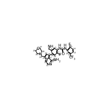 NCc1cc(NC(=O)Nc2cc(C(F)(F)F)ccc2F)c(F)cc1-c1cc(CN2CCOCC2)n2ncnc(N)c12